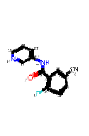 N#Cc1ccc(F)c(C(=O)Nc2cccnc2)c1